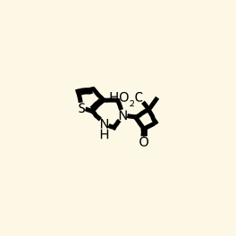 CC1(C(=O)O)CC(=O)C1N1CNc2sccc2C1